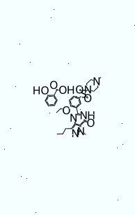 CCCc1nn(C)c2c(=O)[nH]c(-c3cc(S(=O)(=O)N4CCN(C)CC4)ccc3OCC)nc12.O=C(O)c1ccccc1O